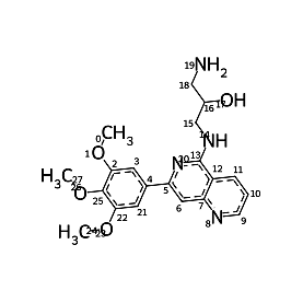 COc1cc(-c2cc3ncccc3c(NCC(O)CN)n2)cc(OC)c1OC